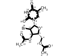 CC(=O)OC[C@H]1O[C@@H](n2cc(C)c(=O)[nH]c2=O)C(Br)C1OC(C)=O